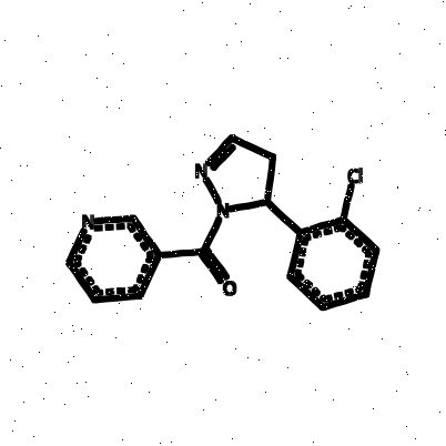 O=C(c1cccnc1)N1N=CCC1c1ccccc1Cl